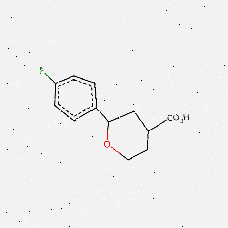 O=C(O)C1CCOC(c2ccc(F)cc2)C1